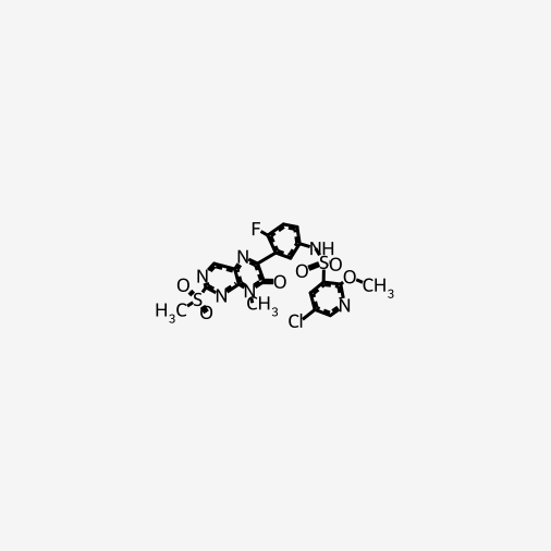 COc1ncc(Cl)cc1S(=O)(=O)Nc1ccc(F)c(-c2nc3cnc(S(C)(=O)=O)nc3n(C)c2=O)c1